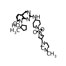 CN1CCN(C2CN(S(=O)(=O)N3CCC(Nc4ncc5ccc(=O)n([C@@H]6CCC[C@@]6(C)O)c5n4)CC3)C2)CC1